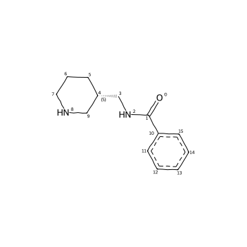 O=C(NC[C@H]1CCCNC1)c1ccccc1